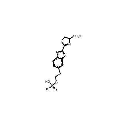 O=C(O)C1CSC(c2nc3ccc(OCOP(=O)(O)O)cc3s2)=N1